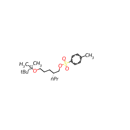 CCC[C@H](CCCO[Si](C)(C)C(C)(C)C)COS(=O)(=O)c1ccc(C)cc1